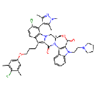 Cc1cc(OCCCc2c3n(c4c(-c5c(C)nn(C)c5C)c(Cl)ccc24)C[C@@H](C)N(c2c(C(=O)O)n(CCN4CCCC4)c4ccccc24)C3=O)cc(C)c1Cl